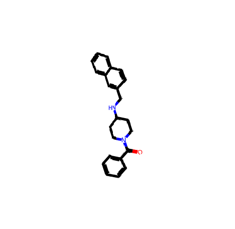 O=C(c1ccccc1)N1CCC(NCc2[c]cc3ccccc3c2)CC1